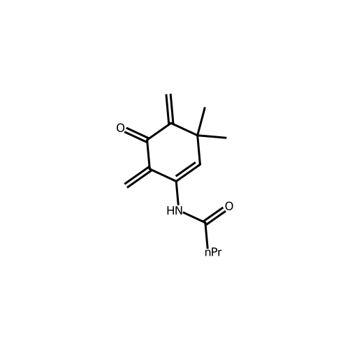 C=C1C(=O)C(=C)C(C)(C)C=C1NC(=O)CCC